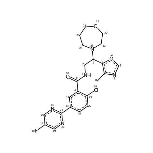 Cc1ncoc1C(CNC(=O)c1cc(-c2ncc(F)cn2)ccc1Cl)N1CCCOCC1